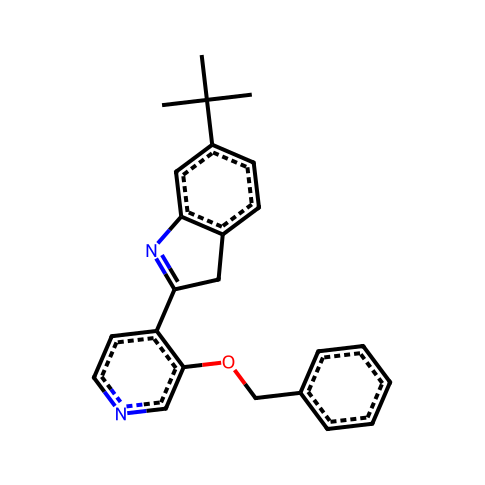 CC(C)(C)c1ccc2c(c1)N=C(c1ccncc1OCc1ccccc1)C2